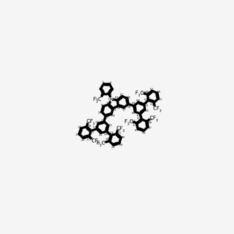 FC(F)(F)c1ccccc1-n1c2ccc(-c3cc(-c4c(C(F)(F)F)cccc4C(F)(F)F)cc(-c4c(C(F)(F)F)cccc4C(F)(F)F)c3)cc2c2cc(-c3cc(-c4c(C(F)(F)F)cccc4C(F)(F)F)cc(-c4c(C(F)(F)F)cccc4C(F)(F)F)c3)ccc21